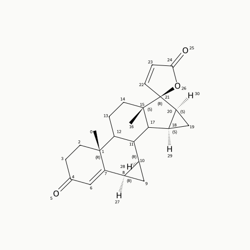 C[C@]12CCC(=O)C=C1[C@@H]1C[C@@H]1C1C2CC[C@@]2(C)C1[C@@H]1C[C@@H]1[C@@]21C=CC(=O)O1